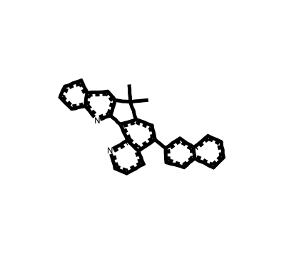 CC1(C)c2cc3ccccc3nc2-c2c1cc(-c1ccc3ccccc3c1)c1cccnc21